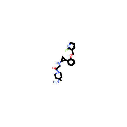 CC1(N)CCN(C(=O)CNC2CC2c2ccccc2OCc2cccnc2F)CC1